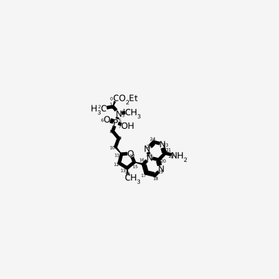 CCOC(=O)[C@H](C)N(C)P(=O)(O)CCC[C@@H]1C[C@H](C)[C@H](C2=C=CN=C3C(N)=NC=NN23)O1